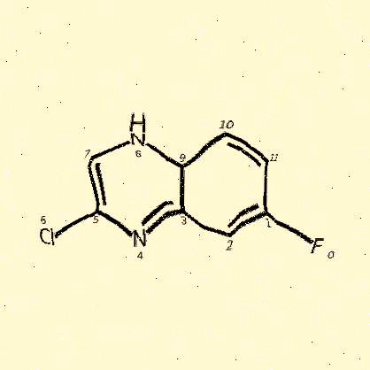 FC1=CC2=NC(Cl)=CNC2C=C1